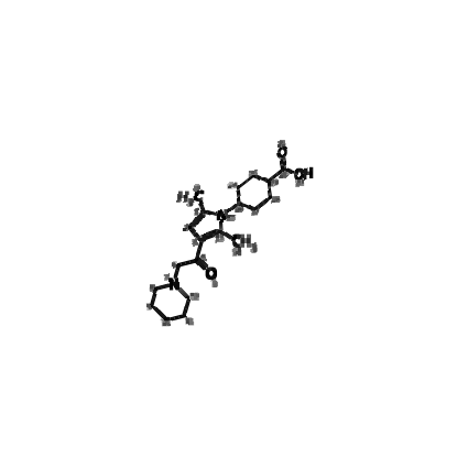 Cc1cc(C(=O)CN2CCCCC2)c(C)n1C1CCC(C(=O)O)CC1